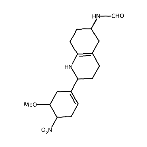 COC1CC(C2CCC3=C(CCC(NC=O)C3)N2)=CCC1[N+](=O)[O-]